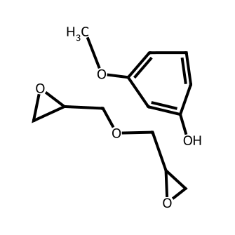 C(OCC1CO1)C1CO1.COc1cccc(O)c1